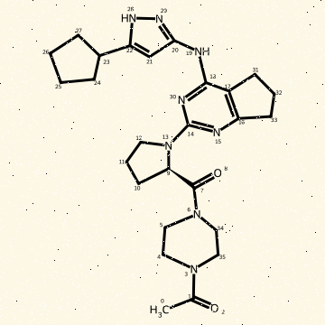 CC(=O)N1CCN(C(=O)[C@H]2CCCN2c2nc3c(c(Nc4cc(C5CCCC5)[nH]n4)n2)CCC3)CC1